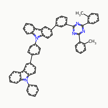 Cc1ccccc1-c1nc(-c2cccc(-c3ccc4c(c3)c3ccccc3n4-c3ccc(-c4ccc5c(c4)c4ccccc4n5-c4ccccc4)cc3)c2)nc(-c2ccccc2C)n1